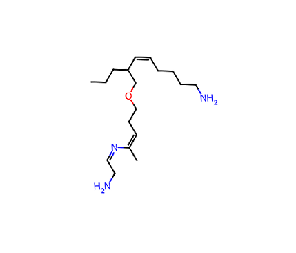 CCCC(/C=C\CCCCN)COCCC=C(C)/N=C\CN